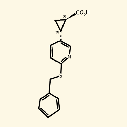 O=C(O)[C@@H]1C[C@H]1c1ccc(SCc2ccccc2)nc1